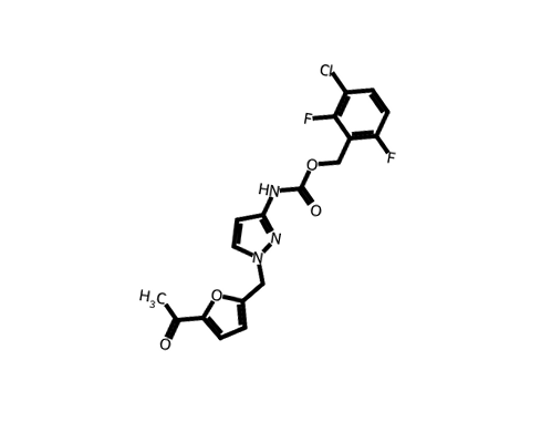 CC(=O)c1ccc(Cn2ccc(NC(=O)OCc3c(F)ccc(Cl)c3F)n2)o1